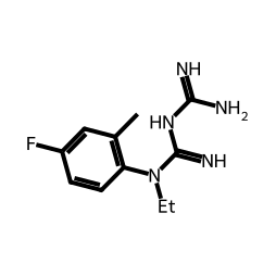 CCN(C(=N)NC(=N)N)c1ccc(F)cc1C